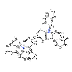 c1ccc2cc(N(c3ccc(-c4ccc(N(c5cccc6ccccc56)c5cccc6ccccc56)cc4)cc3)c3ccc4ccccc4c3)ccc2c1